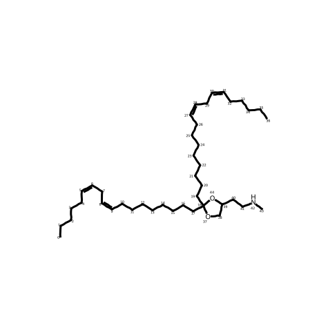 CCCCC/C=C\C/C=C\CCCCCCCCC1(CCCCCCCC/C=C\C/C=C\CCCCC)OCC(CCNC)O1